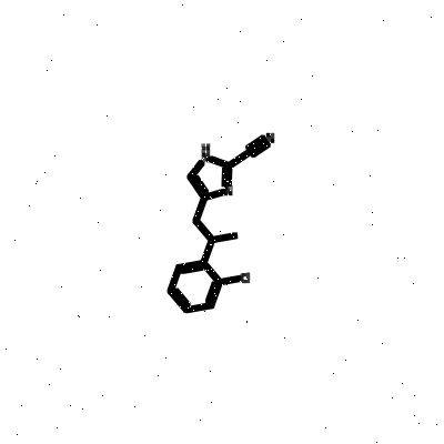 CC(Cc1c[nH]c(C#N)n1)c1ccccc1Cl